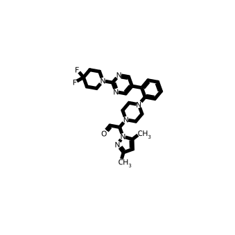 Cc1cc(C)n(C(C=O)N2CCN(c3ccccc3-c3cnc(N4CCC(F)(F)CC4)nc3)CC2)n1